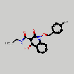 N#Cc1ccc(COn2c(=O)c(C(=O)NCC(=O)O)c(O)c3ccccc32)cc1